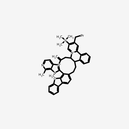 C=C1CC2C(CCc3ccc4c(oc5ccccc54)c3-c3n(C)c4c(C)nccc4[n+]31)c1ccccc1-c1cc(CC(C)C)c([Si](C)(C)C)c[n+]12